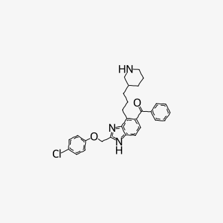 O=C(c1ccccc1)c1ccc2[nH]c(COc3ccc(Cl)cc3)nc2c1CCCC1CCCNC1